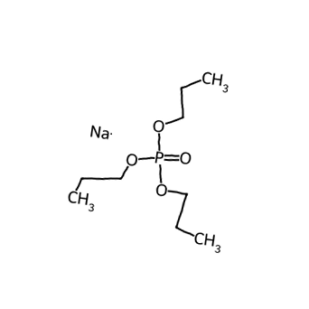 CCCOP(=O)(OCCC)OCCC.[Na]